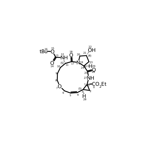 CCOC(=O)[C@@]12C[C@H]1C=CCOCCC[C@H](NC(=O)OC(C)(C)C)C(=O)N1C[C@H](O)C[C@H]1C(=O)N2